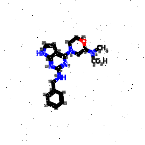 CN(C(=O)O)C1CN(c2nc(NCc3ccccc3)nc3[nH]ccc23)CCO1